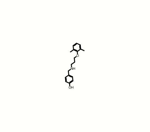 Cc1cccc(C)c1OCCCNCc1ccc(O)cc1